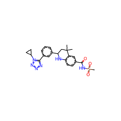 CC1(C)CC(c2cccc(-c3nnnn3C3CC3)c2)Nc2ccc(C(=O)NS(C)(=O)=O)cc21